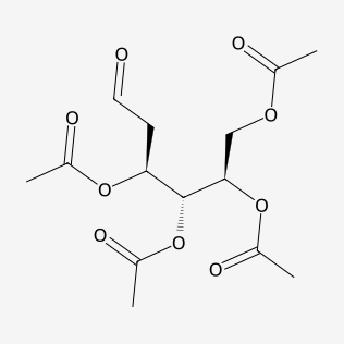 CC(=O)OC[C@@H](OC(C)=O)[C@H](OC(C)=O)[C@H](CC=O)OC(C)=O